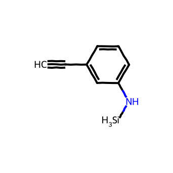 C#Cc1cccc(N[SiH3])c1